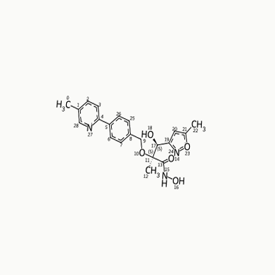 Cc1ccc(-c2ccc(CO[C@](C)(C(=O)NO)[C@@H](O)c3cc(C)on3)cc2)nc1